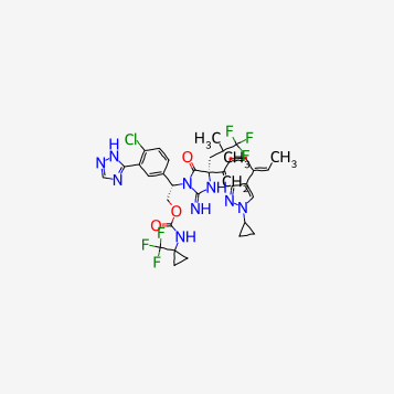 C=C(/C=C\C(=C/C)c1cnn(C2CC2)c1)[C@@]1(CC(C)(C)C(F)(F)F)NC(=N)N([C@H](COC(=O)NC2(C(F)(F)F)CC2)c2ccc(Cl)c(-c3ncn[nH]3)c2)C1=O